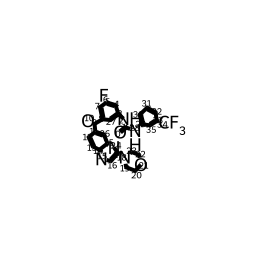 O=C(Nc1cc(F)cc(C(=O)c2ccc3ncc(N4CCOCC4)nc3c2)c1)Nc1cccc(C(F)(F)F)c1